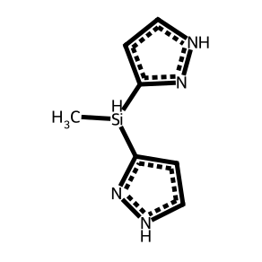 C[SiH](c1cc[nH]n1)c1cc[nH]n1